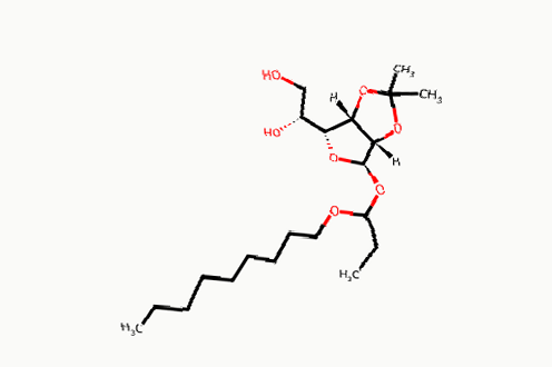 CCCCCCCCCOC(CC)O[C@H]1O[C@H]([C@H](O)CO)[C@@H]2OC(C)(C)O[C@H]12